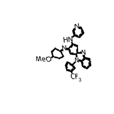 COC1CCC(/N=c2\cc3n(-c4cccc(C(F)(F)F)c4)c4ccccc4nc-3cc2Nc2cccnc2)CC1